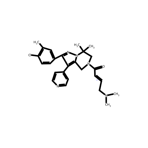 Cc1cc(-c2nn3c(c2-c2ccncc2)CN(C(=O)/C=C/CN(C)C)CC3(C)C)ccc1Cl